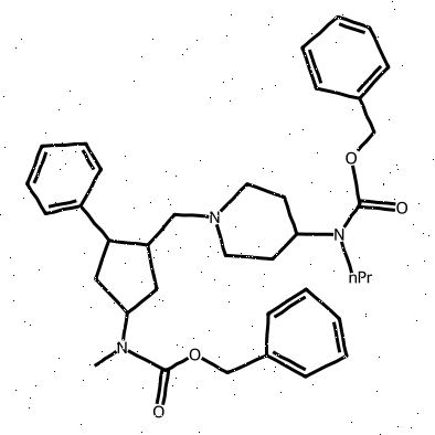 CCCN(C(=O)OCc1ccccc1)C1CCN(CC2CC(N(C)C(=O)OCc3ccccc3)CC2c2ccccc2)CC1